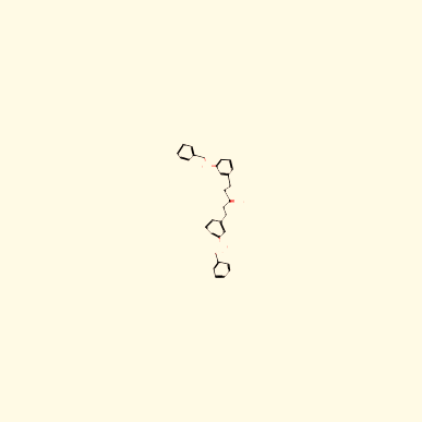 O=C(CCc1cccc(OCc2ccccc2)c1)CCc1cccc(OCc2ccccc2)c1